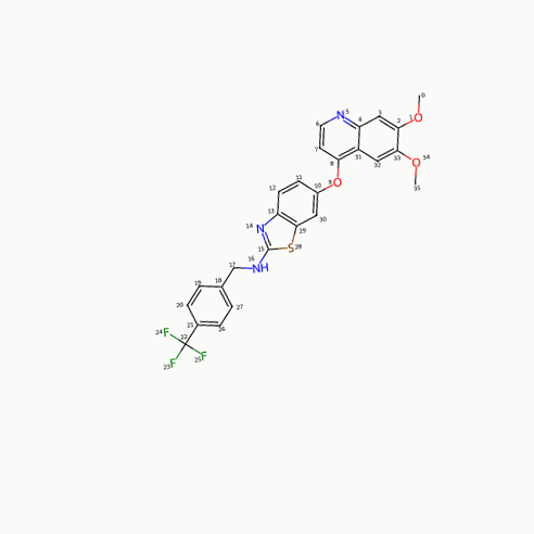 COc1cc2nccc(Oc3ccc4nc(NCc5ccc(C(F)(F)F)cc5)sc4c3)c2cc1OC